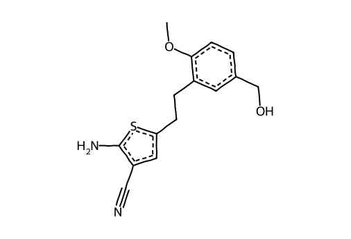 COc1ccc(CO)cc1CCc1cc(C#N)c(N)s1